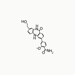 COc1cc(-c2ccc3c(c2)Nc2ccc(CCO)cc2NC3=O)ccc1C(N)=O